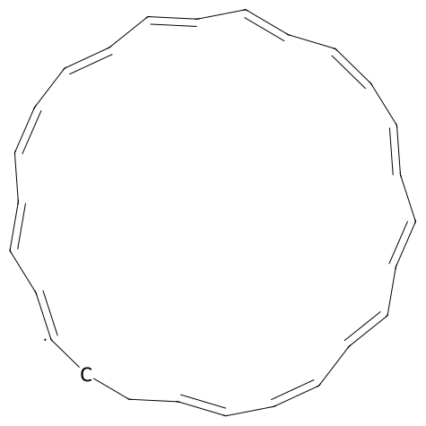 [C]1=C/C=C/C=C\C=C\C=C\C=C\C=C/C=C/C=C/C=C/C=C\C=C\CC/1